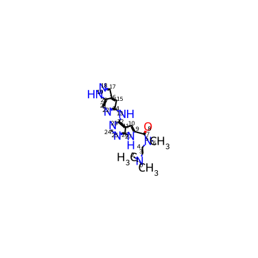 CN(C)CCN(C)C(=O)c1cc2c(Nc3cc4cn[nH]c4cn3)ncnc2[nH]1